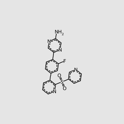 Nc1cnc(-c2ccc(-c3cccnc3S(=O)(=O)c3cccnc3)cc2F)cn1